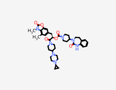 Cc1cc(C[C@@H](OC(=O)N2CCC(N3CCc4ccccc4NC3=O)CC2)C(=O)N2CCC(N3CCN(C4CC4)CC3)CC2)cc2oc(=O)n(C)c12